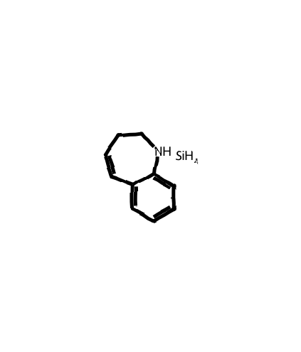 C1=Cc2ccccc2NCC1.[SiH4]